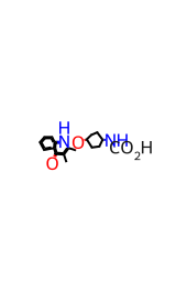 Cc1c(COC2CCC(NC(=O)O)CC2)[nH]c2ccccc2c1=O